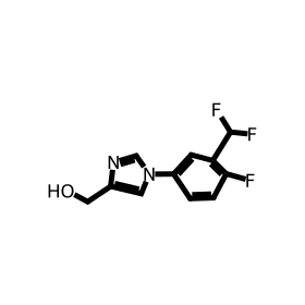 OCc1cn(-c2ccc(F)c(C(F)F)c2)cn1